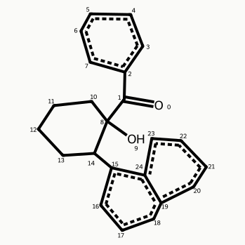 O=C(c1ccccc1)C1(O)CCCCC1c1cccc2ccccc12